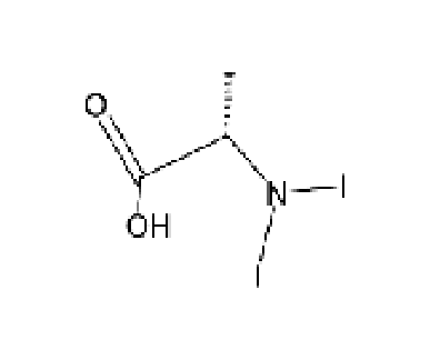 C[C@@H](C(=O)O)N(I)I